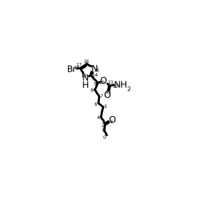 CCC(=O)CCCCCC(OC(N)=O)c1ncc(Br)[nH]1